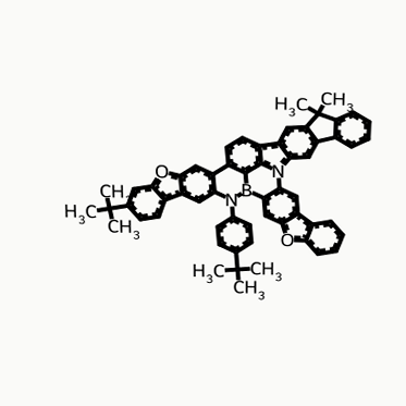 CC(C)(C)c1ccc(N2B3c4cc5oc6ccccc6c5cc4-n4c5cc6c(cc5c5ccc(c3c54)-c3cc4oc5cc(C(C)(C)C)ccc5c4cc32)C(C)(C)c2ccccc2-6)cc1